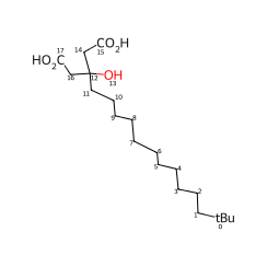 CC(C)(C)CCCCCCCCCCCC(O)(CC(=O)O)CC(=O)O